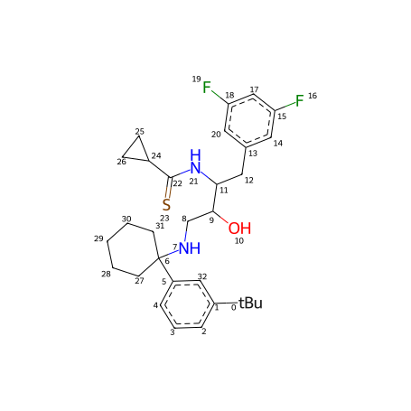 CC(C)(C)c1cccc(C2(NCC(O)C(Cc3cc(F)cc(F)c3)NC(=S)C3CC3)CCCCC2)c1